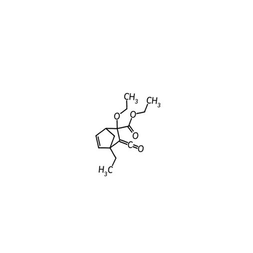 CCOC(=O)C1(OCC)C(=C=O)C2(CC)C=CC1C2